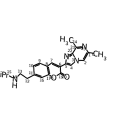 Cc1cn2cc(-c3cc4ccc(CCNC(C)C)cc4oc3=O)nc2c(C)n1